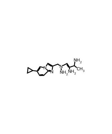 CC(N)/C(N)=C/N(N)Cc1cn2cc(C3CC3)ccc2n1